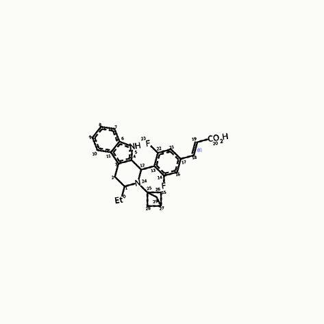 CCC1Cc2c([nH]c3ccccc23)C(c2c(F)cc(/C=C/C(=O)O)cc2F)N1C12CC(C1)C2